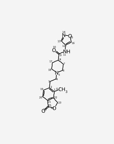 Cc1c(CCN2CCC(C(=O)Nc3cnoc3)CC2)ccc2c1COC2=O